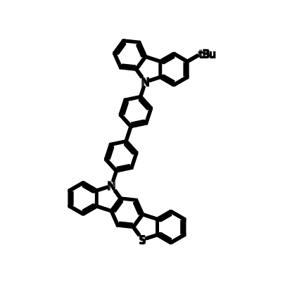 CC(C)(C)c1ccc2c(c1)c1ccccc1n2-c1ccc(-c2ccc(-n3c4ccccc4c4cc5sc6ccccc6c5cc43)cc2)cc1